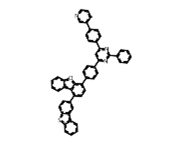 c1ccc(-c2nc(-c3ccc(-c4cccnc4)cc3)cc(-c3ccc(-c4ccc(-c5ccc6sc7ccccc7c6c5)c5c4oc4ccccc45)cc3)n2)cc1